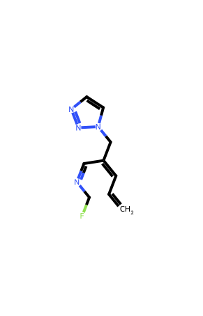 C=C/C=C(\C=N/CF)Cn1ccnn1